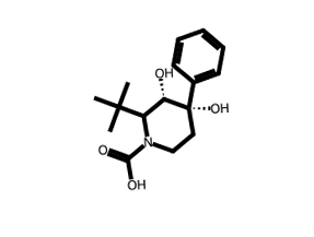 CC(C)(C)C1[C@H](O)[C@@](O)(c2ccccc2)CCN1C(=O)O